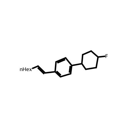 CCCCCC/C=C/c1ccc(C2CCC(F)CC2)cc1